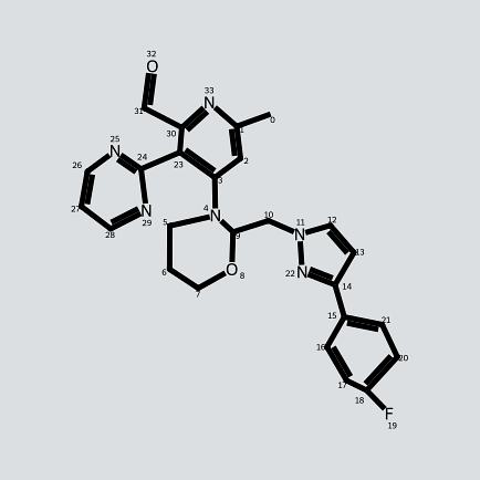 Cc1cc(N2CCCOC2Cn2ccc(-c3ccc(F)cc3)n2)c(-c2ncccn2)c(C=O)n1